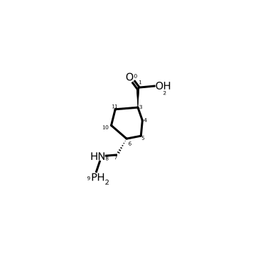 O=C(O)[C@H]1CC[C@H](CNP)CC1